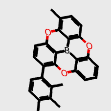 Cc1ccc(-c2ccc3c4c2Oc2cccc5c2B4c2c(ccc(C)c2O3)O5)c(C)c1C